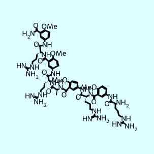 COc1ccc(NC(=O)[C@@H](CCCNC(=N)N)NC(=O)c2cc(NC(=O)[C@@H](CCCNC(=N)N)NC(=O)[C@H](C)NC(=O)c3cc(NC(=O)[C@@H](CCCNC(=N)N)NC(=O)c4cc(NC(=O)[C@H](N)CCCNC(=N)N)ccc4OC)ccc3OC)ccc2OC)cc1C(N)=O